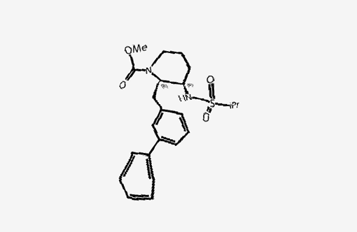 COC(=O)N1CCC[C@@H](NS(=O)(=O)C(C)C)[C@H]1Cc1cccc(-c2ccccc2)c1